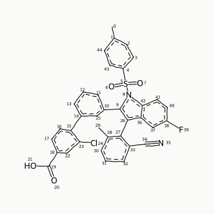 Cc1ccc(S(=O)(=O)n2c(-c3cccc(-c4ccc(C(=O)O)cc4Cl)c3)c(-c3c(C)cccc3C#N)c3cc(F)ccc32)cc1